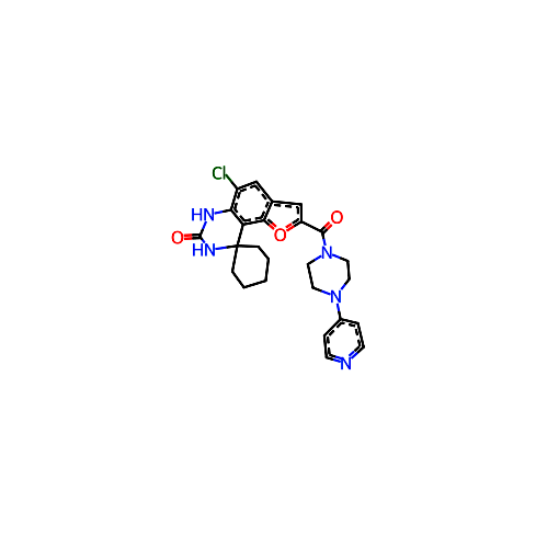 O=C1Nc2c(Cl)cc3cc(C(=O)N4CCN(c5ccncc5)CC4)oc3c2C2(CCCCC2)N1